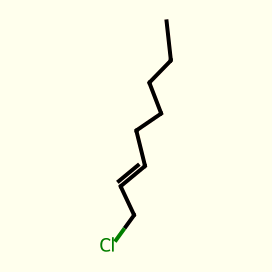 CCCCCC=CCCl